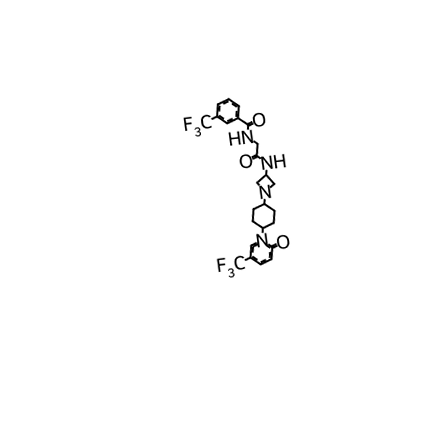 O=C(CNC(=O)c1cccc(C(F)(F)F)c1)NC1CN(C2CCC(n3cc(C(F)(F)F)ccc3=O)CC2)C1